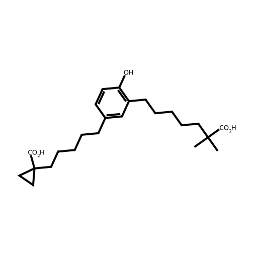 CC(C)(CCCCCc1cc(CCCCCC2(C(=O)O)CC2)ccc1O)C(=O)O